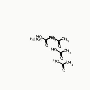 CC(=O)O.CC(=O)O.CC(=O)O.CC(=O)O.[KH].[KH]